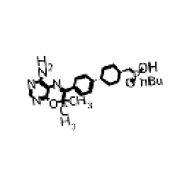 CCCCP(=O)(O)C[C@H]1CC[C@H](c2ccc(C3=Nc4c(N)ncnc4OC3(C)C)cc2)CC1